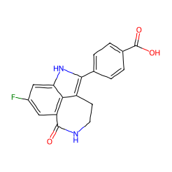 O=C(O)c1ccc(-c2[nH]c3cc(F)cc4c3c2CCNC4=O)cc1